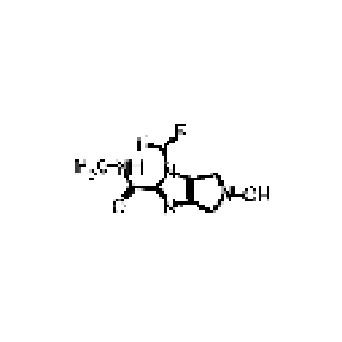 CNC(=O)c1nc2c(n1C(F)F)CN(O)C2